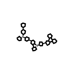 c1ccc(-c2ccc(N(c3ccccc3)c3ccc(-c4ccc5c(c4)c4ccccc4n5-c4ccc(-c5ccc6c7ccccc7c7ccccc7c6c5)cc4)cc3)cc2)cc1